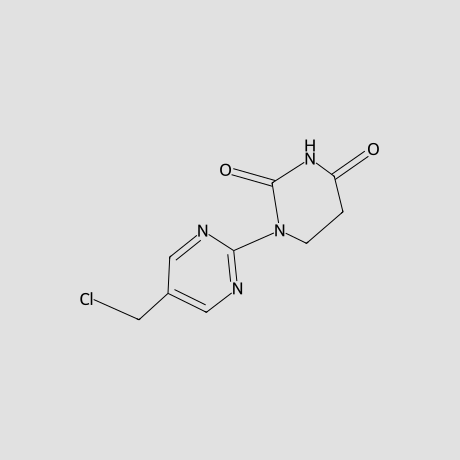 O=C1CCN(c2ncc(CCl)cn2)C(=O)N1